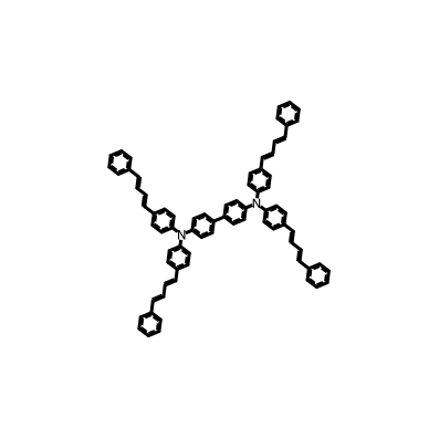 C(C=Cc1ccc(N(c2ccc(C=CC=Cc3ccccc3)cc2)c2ccc(-c3ccc(N(c4ccc(C=CC=Cc5ccccc5)cc4)c4ccc(C=CC=Cc5ccccc5)cc4)cc3)cc2)cc1)=Cc1ccccc1